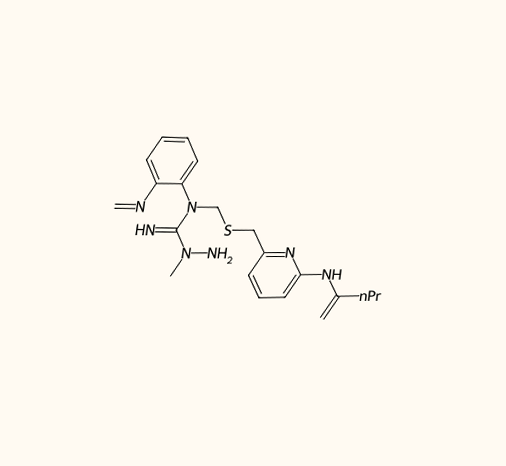 C=Nc1ccccc1N(CSCc1cccc(NC(=C)CCC)n1)C(=N)N(C)N